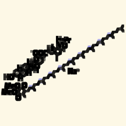 CCCC(=O)Nc1c(I)cc(I)c(CC(CC)C(=O)[O-])c1I.COC1=C(OC)C(=O)C(C/C=C(\C)CC/C=C(\C)CC/C=C(\C)CC/C=C(\C)CC/C=C(\C)CC/C=C(\C)CC/C=C(\C)CC/C=C(\C)CC/C=C(\C)CCC=C(C)C)=C(C)C1=O.C[C@H]1CC[C@@]2(OC1)O[C@H]1C[C@H]3[C@@H]4CC[C@@H]5C[C@@H](O)CC[C@]5(C)[C@H]4CC[C@]3(C)[C@H]1[C@@H]2C.[Na+]